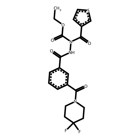 CCOC(=O)N(NC(=O)c1cccc(C(=O)N2CCC(F)(F)CC2)c1)C(=O)c1ccsc1